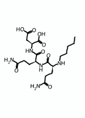 CCCCCN[C@@H](CCC(N)=O)C(=O)N[C@@H](CCC(N)=O)C(=O)N[C@@H](CC(=O)O)C(=O)O